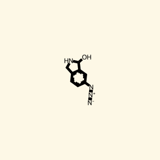 [N-]=[N+]=Nc1ccc2c(c1)C(O)NC2